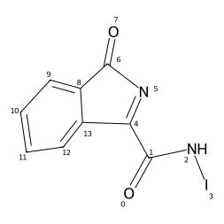 O=C(NI)C1=NC(=O)c2ccccc21